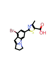 Cc1nc(-c2cc(Br)c3cc4n(c3c2)CCC4)sc1C(=O)O